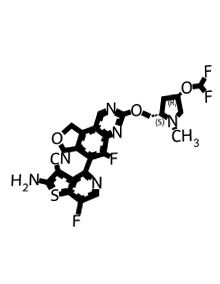 CN1C[C@H](OC(F)F)C[C@H]1COc1ncc2c3c(c(-c4ncc(F)c5sc(N)c(C#N)c45)c(F)c2n1)COC3